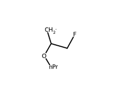 [CH2]C(CF)OCCC